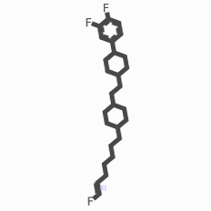 F/C=C/CCCCCC1CCC(CCC2CCC(c3ccc(F)c(F)c3)CC2)CC1